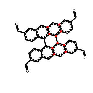 O=Cc1ccc(P(c2ccccc2)c2ccc3cc(C=O)ccc3c2-c2c(P(c3ccccc3)c3ccc(C=O)cc3)ccc3cc(C=O)ccc23)cc1